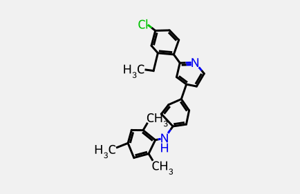 CCc1cc(Cl)ccc1-c1cc(-c2ccc(Nc3c(C)cc(C)cc3C)cc2)ccn1